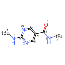 CC(C)(C)NC(=O)c1cnc(NC(C)(C)C)nc1